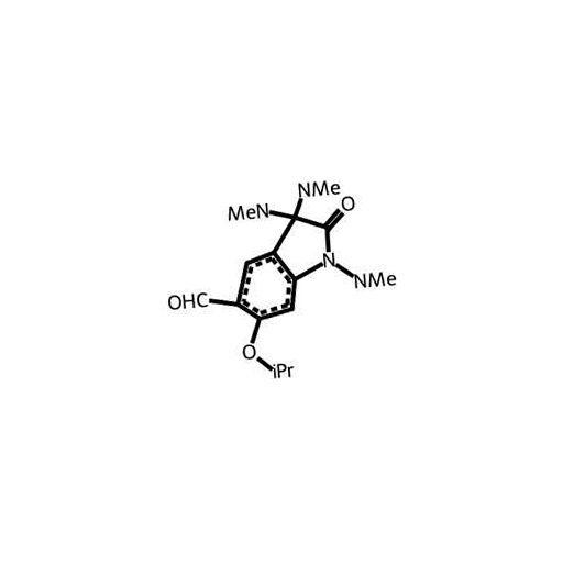 CNN1C(=O)C(NC)(NC)c2cc(C=O)c(OC(C)C)cc21